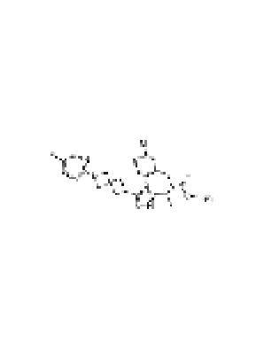 CC(C)OC(=O)N1Cc2cc(Cl)ccc2-n2c(C3CC4(C3)CN(c3ncc(F)cn3)C4)nnc2C1C